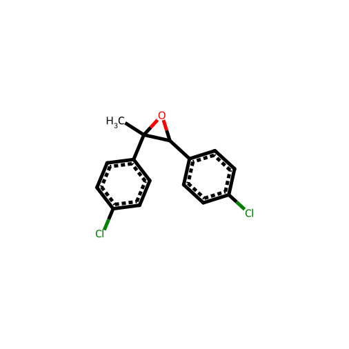 CC1(c2ccc(Cl)cc2)OC1c1ccc(Cl)cc1